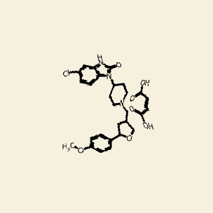 COc1ccc(C2CC(CN3CCC(n4c(=O)[nH]c5cc(Cl)ccc54)CC3)CO2)cc1.O=C(O)/C=C\C(=O)O